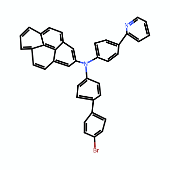 Brc1ccc(-c2ccc(N(c3ccc(-c4ccccn4)cc3)c3cc4ccc5cccc6ccc(c3)c4c56)cc2)cc1